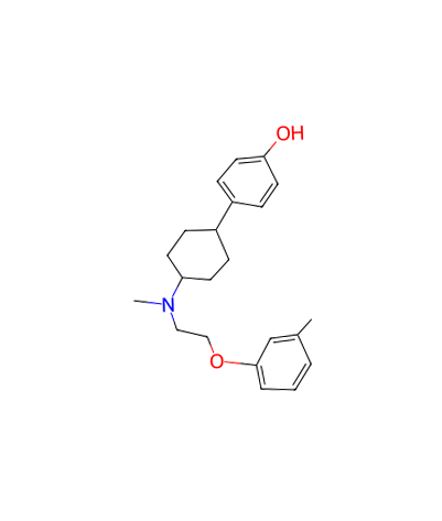 Cc1cccc(OCCN(C)C2CCC(c3ccc(O)cc3)CC2)c1